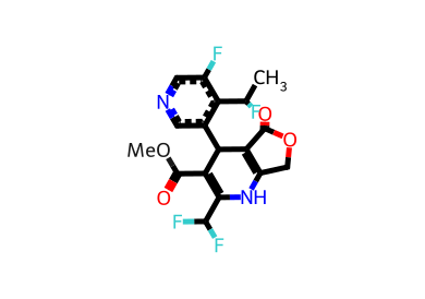 COC(=O)C1=C(C(F)F)NC2=C(C(=O)OC2)C1c1cncc(F)c1C(C)F